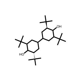 CC(C)(C)C1CC(C2CC(C(C)(C)C)C(O)[C@@H](C(C)(C)C)C2)C[C@@H](C(C)(C)C)C1O